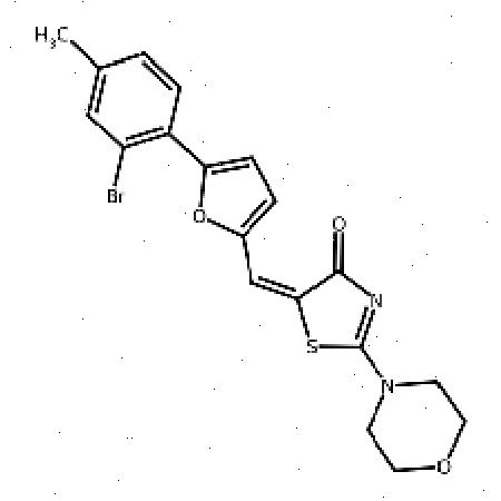 Cc1ccc(-c2ccc(/C=C3/SC(N4CCOCC4)=NC3=O)o2)c(Br)c1